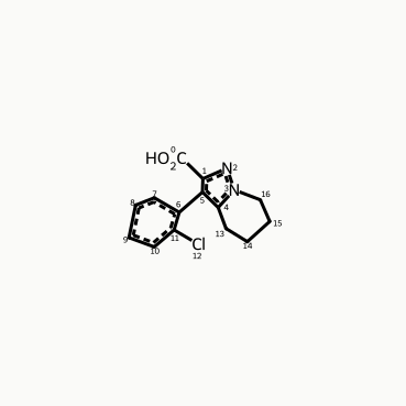 O=C(O)c1nn2c(c1-c1ccccc1Cl)CCCC2